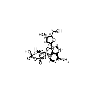 Nc1ncnc2c1N=C[N+]2(OP(=O)(O)OP(=O)(O)OP(=O)(O)O)[C@H]1C[C@H](O)[C@@H](CO)O1